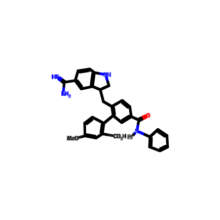 CCN(C(=O)c1ccc(CC2CNc3ccc(C(=N)N)cc32)c(-c2ccc(OC)cc2C(=O)O)c1)c1ccccc1